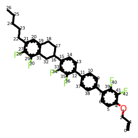 C=CCOc1ccc(-c2ccc(-c3ccc(C4CCc5cc(CCCCC)c(F)c(F)c5C4)c(F)c3F)cc2)c(F)c1F